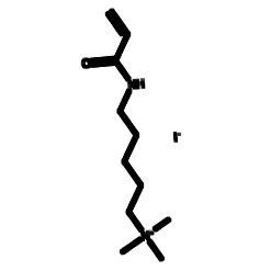 C=CC(=O)NCCCCC[N+](C)(C)C.[I-]